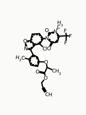 C#CCOC(=O)C(C)Oc1ccc(C)c(-c2noc3ccc(-n4c(=O)cc(C(F)(F)F)n(C)c4=O)c(Cl)c23)c1